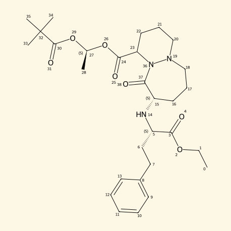 CCOC(=O)[C@H](CCc1ccccc1)N[C@H]1CCCN2CCCC(C(=O)O[C@@H](C)OC(=O)C(C)(C)C)N2C1=O